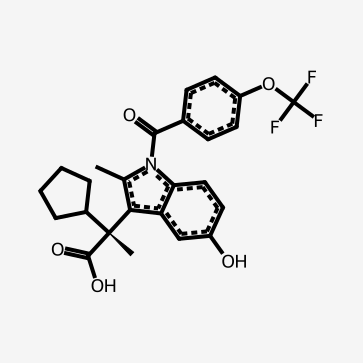 Cc1c([C@](C)(C(=O)O)C2CCCC2)c2cc(O)ccc2n1C(=O)c1ccc(OC(F)(F)F)cc1